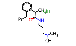 CC(C)Cc1ccccc1C(C)C(=O)NCCCN(C)C.Cl